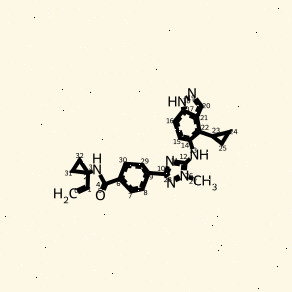 C=CC1(NC(=O)c2ccc(-c3nc(Nc4ccc5[nH]ncc5c4C4CC4)n(C)n3)cc2)CC1